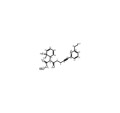 CC(C)(C)OC(=O)N(C(=O)CCC#Cc1cccc(CF)n1)C1C=CC=CC1(C)F